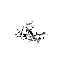 CC(C)[Si]1(C(C)C)OC[C@@]23CN(C)OC([C@H](n4cnc5c(=O)[nH]c(N)nc54)O2)[C@H]3O[Si](C(C)C)(C(C)C)O1